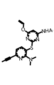 C=COc1cc(NC(C)=O)nc(Sc2ccc(C#CC)nc2N(C)C)n1